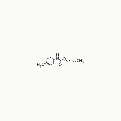 CCCCOC(=O)NC1CC=C(C)CC1